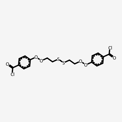 O=C(Cl)c1ccc(OOCCSSCCOOc2ccc(C(=O)Cl)cc2)cc1